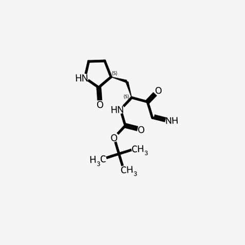 CC(C)(C)OC(=O)N[C@@H](C[C@@H]1CCNC1=O)C(=O)C=N